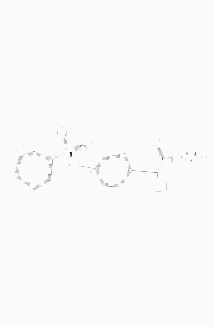 CCC(C(=O)OC)c1ccc(OS(=O)(=O)c2ccccc2)cc1